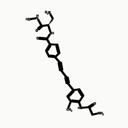 Cc1cc(C#CC#Cc2ccc(C(=O)N[C@@H](CN)C(=O)NO)cc2)ccc1NC(=O)CN